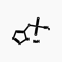 NS(=O)(=O)Oc1cnn[nH]1.[NaH]